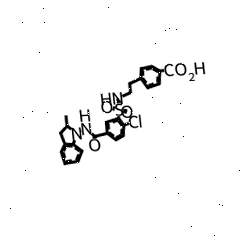 CC1Cc2ccccc2N1NC(=O)c1ccc(Cl)c(S(=O)(=O)NCCc2ccc(C(=O)O)cc2)c1